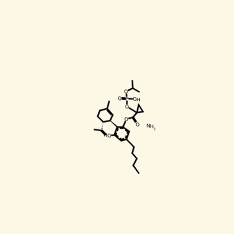 C=C(C)[C@@H]1CCC(C)=C[C@H]1c1c(O)cc(CCCCC)cc1OC(=O)C1(OP(=O)(O)OC(C)C)CC1.N